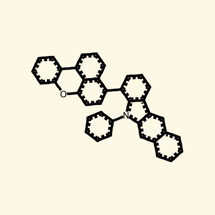 c1ccc(-n2c3cc4ccccc4cc3c3cccc(-c4ccc5c6c(cccc46)-c4ccccc4O5)c32)cc1